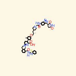 Cc1cc(OC[C@@H](C)CC2CCN(CC(=O)Nc3ccc4c(C5CCC(=O)NC5=O)nn(C)c4c3)CC2)ccc1-c1ccc(N2CCc3cccc(C(=O)Nc4nc5ccccc5s4)c3C2)nc1C(=O)O